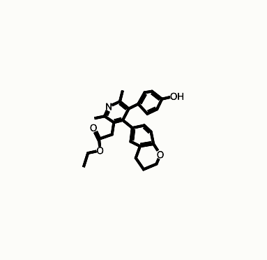 CCOC(=O)Cc1c(C)nc(C)c(-c2ccc(O)cc2)c1-c1ccc2c(c1)CCCO2